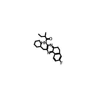 CCC(C)C(=O)Nc1nc2c(nc1CC1CCCCC1)-c1ccc(F)cc1CC2